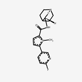 Cn1c(C(=O)N[C@H]2CN3CCC2CC3)ccc1-c1ccc(F)nc1